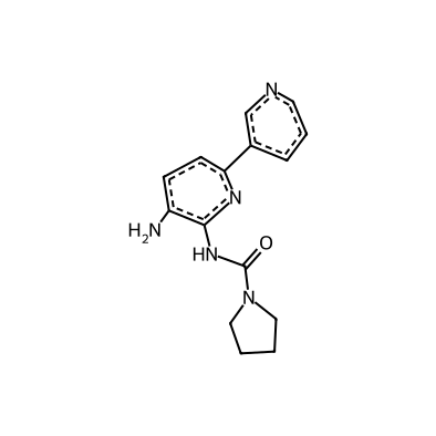 Nc1ccc(-c2cccnc2)nc1NC(=O)N1CCCC1